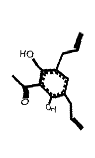 C=CCc1cc(CC=C)c(O)c(C(C)=O)c1O